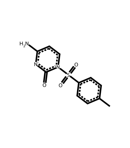 Cc1ccc(S(=O)(=O)n2ccc(N)nc2=O)cc1